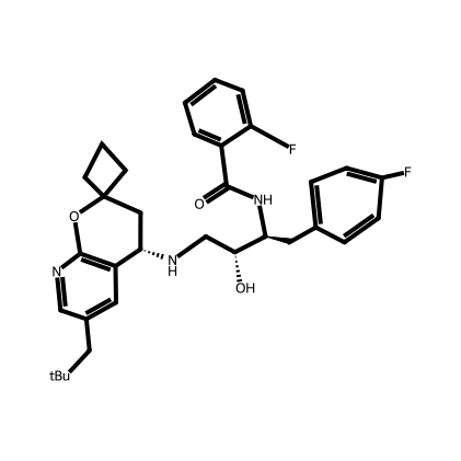 CC(C)(C)Cc1cnc2c(c1)[C@@H](NC[C@@H](O)[C@H](Cc1ccc(F)cc1)NC(=O)c1ccccc1F)CC1(CCC1)O2